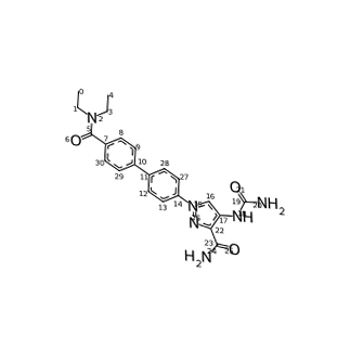 CCN(CC)C(=O)c1ccc(-c2ccc(-n3cc(NC(N)=O)c(C(N)=O)n3)cc2)cc1